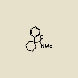 CNC(=O)C1(c2ccccc2)CCCCC1